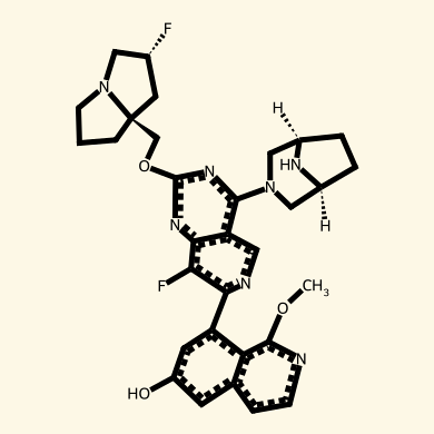 COc1nccc2cc(O)cc(-c3ncc4c(N5C[C@H]6CC[C@@H](C5)N6)nc(OC[C@@]56CCCN5C[C@H](F)C6)nc4c3F)c12